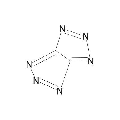 N1=NC2=NN=NC2=N1